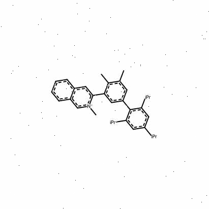 Cc1cc(-c2c(C(C)C)cc(C(C)C)cc2C(C)C)cc(-c2cc3ccccc3c[n+]2C)c1C